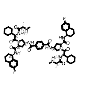 CN[C@@H](C)C(=O)N[C@H](C(=O)N1C[C@@H](NC(=O)c2ccc(C(=O)N[C@H]3C[C@@H](C(=O)N[C@@H]4CCCc5cc(F)ccc54)N(C(=O)[C@@H](NC(=O)[C@H](C)NC)C4CCCCC4)C3)cc2)C[C@H]1C(=O)N[C@@H]1CCCc2cc(F)ccc21)C1CCCCC1